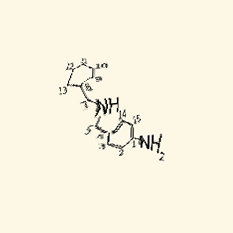 Nc1ccc(CNCC2CCCCC2)cc1